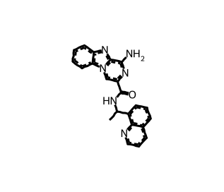 CC(NC(=O)c1cn2c(nc3ccccc32)c(N)n1)c1cccc2cccnc12